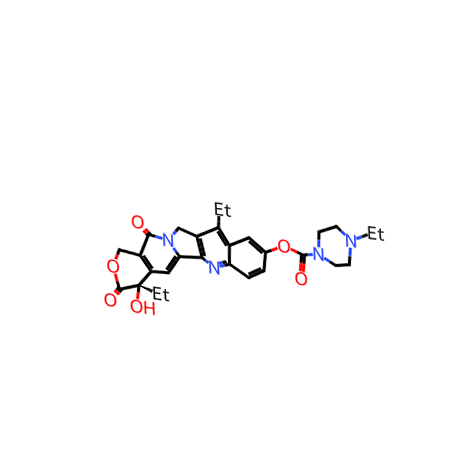 CCc1c2c(nc3ccc(OC(=O)N4CCN(CC)CC4)cc13)-c1cc3c(c(=O)n1C2)COC(=O)[C@]3(O)CC